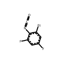 CCc1cc(F)cc(F)c1N=C=O